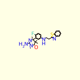 CN1C(=O)C(C)(C)[C@@](C)(c2cc(NCCc3nc4ccccc4s3)ccc2F)N=C1N